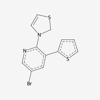 Brc1cnc(N2C=CSC2)c(-c2cccs2)c1